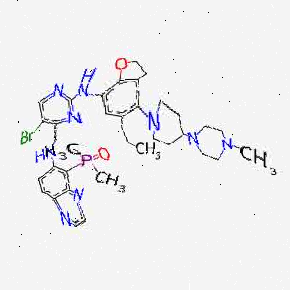 CCc1cc(Nc2ncc(Br)c(CNc3ccc4nccnc4c3P(C)(C)=O)n2)c2c(c1N1CCC(N3CCN(C)CC3)CC1)CCO2